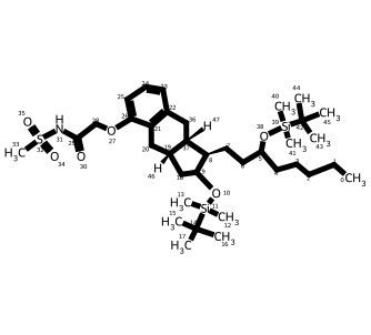 CCCCCC(CC[C@H]1C(O[Si](C)(C)C(C)(C)C)C[C@@H]2Cc3c(cccc3OCC(=O)NS(C)(=O)=O)C[C@@H]21)O[Si](C)(C)C(C)(C)C